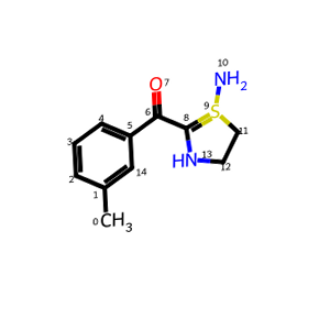 Cc1cccc(C(=O)C2=S(N)CCN2)c1